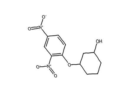 O=[N+]([O-])c1ccc(OC2CCCC(O)C2)c([N+](=O)[O-])c1